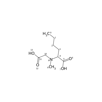 CCCCC(C(=O)O)N(C)CC(=O)O